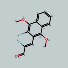 COc1c(F)c(/C=C(\F)C=O)c(OC)c2ccccc12